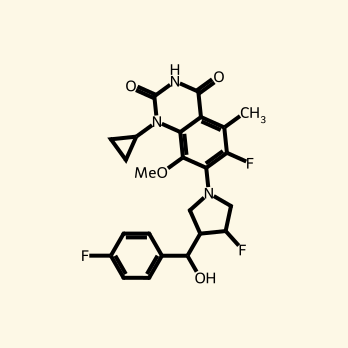 COc1c(N2CC(F)C(C(O)c3ccc(F)cc3)C2)c(F)c(C)c2c(=O)[nH]c(=O)n(C3CC3)c12